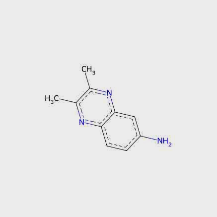 Cc1nc2ccc(N)cc2nc1C